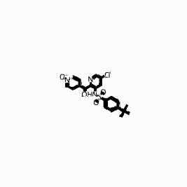 CC(C)(C)c1ccc(S(=O)(=O)Nc2cc(Cl)cnc2C(=O)c2cc[n+]([O-])cc2)cc1